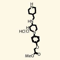 COC(=O)COc1ccc(N2CCC(NCC3CCNCC3)CC2)cc1.Cl.Cl